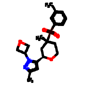 C[C@@]1(S(=O)(=O)c2cccc(C(F)(F)F)c2)CCO[C@H](c2cc(C(F)(F)F)nn2C2COC2)C1